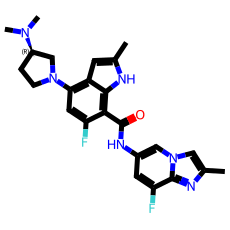 Cc1cn2cc(NC(=O)c3c(F)cc(N4CC[C@@H](N(C)C)C4)c4cc(C)[nH]c34)cc(F)c2n1